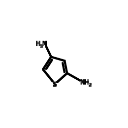 Nc1csc(N)c1